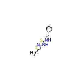 Cc1cc(NC(=S)NCCc2ccccc2)ns1